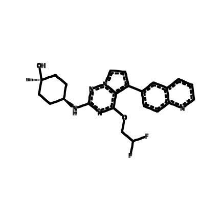 C[C@]1(O)CC[C@@H](Nc2nc(OCC(F)F)c3c(-c4ccc5ncccc5c4)ccn3n2)CC1